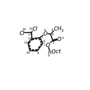 CCCCCCCCOC(=O)C(C)Oc1ccccc1C(Cl)Cl